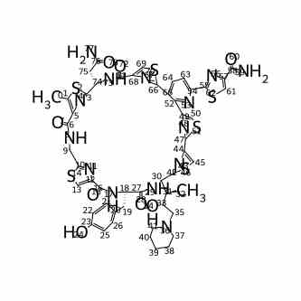 Cc1sc2nc1C(=O)NCc1nc(cs1)C(=O)N[C@@H](Cc1ccc(O)cc1)C(=O)N[C@@H]([C@@H](C)[C@@H](O)CN1CCCCC1)c1nc(cs1)-c1nc(cs1)-c1nc(-c3nc(C(N)=O)cs3)ccc1-c1nc(cs1)C(=O)N[C@H]2CC(N)=O